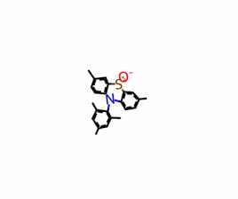 Cc1cc(C)c(N2c3ccc(C)cc3[S+]([O-])c3cc(C)ccc32)c(C)c1